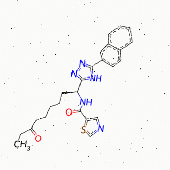 CCC(=O)CCCCC[C@H](NC(=O)c1cncs1)c1nnc(-c2ccc3ccccc3c2)[nH]1